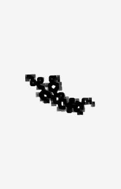 Cc1cncc(S(=O)(=O)N2CCC(CN(C(=O)C3CCC(O)CC3)c3cc(/C=C/C(=O)OC(C)C)ccn3)CC2)c1